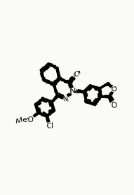 COc1ccc(C2=NN(c3ccc4c(c3)COC4=O)C(=O)C3CC=CCC23)cc1Cl